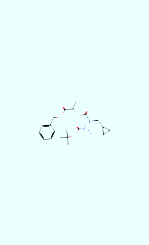 CC(OC(=O)C(CC1CC1)N(C)C(=O)OC(C)(C)C)C(=O)OCc1ccccc1